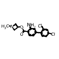 CN1CC(OC(=O)c2ccc(-c3ccc(Cl)cc3Cl)cc2N)C1